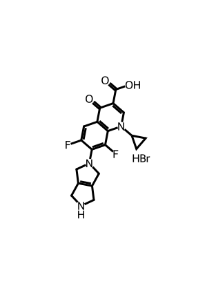 Br.O=C(O)c1cn(C2CC2)c2c(F)c(N3CC4=C(CNC4)C3)c(F)cc2c1=O